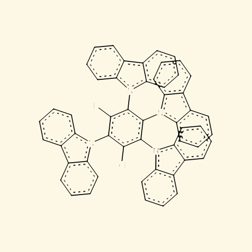 Fc1c(-n2c3ccccc3c3ccccc32)c(-n2c3ccccc3c3ccccc32)c(-n2c3ccccc3c3ccccc32)c(C(F)(F)F)c1-n1c2ccccc2c2ccccc21